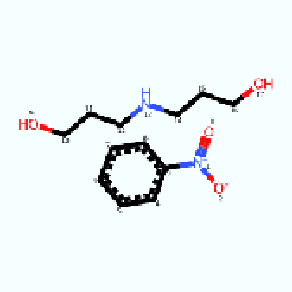 O=[N+]([O-])c1ccccc1.OCCCNCCCO